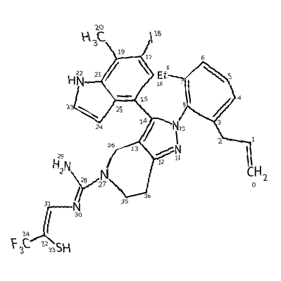 C=CCc1cccc(CC)c1-n1nc2c(c1-c1cc(I)c(C)c3[nH]ccc13)CN(/C(N)=N/C=C(\S)C(F)(F)F)CC2